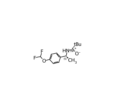 C[C@H](N[S@+]([O-])C(C)(C)C)c1ccc(OC(F)F)cc1